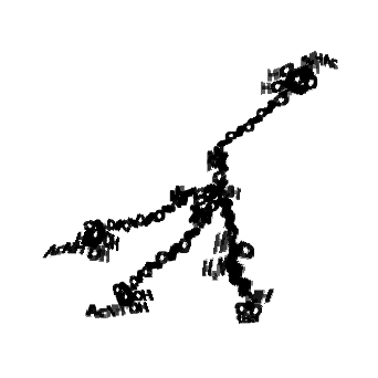 CC(=O)N[C@H]1[C@H]2OC[C@](COCCOCCOCCOCCn3cc(COCC(COCc4cn(CCOCCOCCOCCOC[C@@]56CO[C@@H](O5)[C@H](NC(C)=O)[C@@H](O)[C@H]6O)nn4)(COCc4cn(CCOCCOCCOCCOC[C@@]56COC(O5)[C@H](NC(C)=O)[C@@H](O)[C@H]6O)nn4)NC(=O)CCCCCNC(=O)[C@@H](N)CCCCNC(=O)OC(C)(C)C)nn3)(O2)[C@H](O)[C@@H]1O